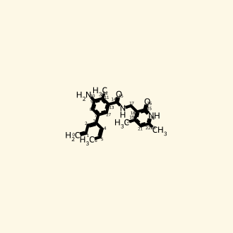 C=C/C=C(\C=C/C)c1cc(N)c(C)c(C(=O)NCc2c(C)cc(C)[nH]c2=O)c1